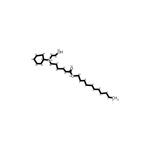 CCCCCCCCCCCOC(=O)CCCCCN(CCO)C1CCCCC1